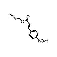 CCCCCCCCc1ccc(C=CC(=O)OCCC(C)C)cc1